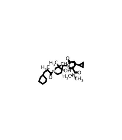 CC(CC1CCCCC1)C(=O)N1CC[C@](O)(Cn2cc(C(=O)N(C)C)c(C3CC3)cc2=O)C(C)(C)C1